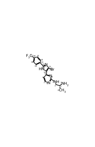 C[C@H](N)CNc1nccc(-c2[nH]c(-c3ccc(C(F)(F)F)cc3)nc2Br)n1